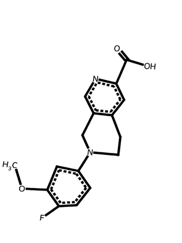 COc1cc(N2CCc3cc(C(=O)O)ncc3C2)ccc1F